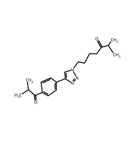 CC(C)C(=O)CCCCn1cc(-c2ccc(C(=O)C(C)C)cc2)nn1